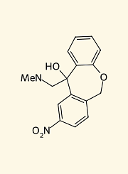 CNCC1(O)c2cc([N+](=O)[O-])ccc2COc2ccccc21